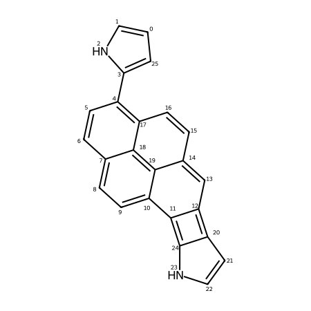 c1c[nH]c(-c2ccc3ccc4c5c(cc6ccc2c3c64)c2cc[nH]c25)c1